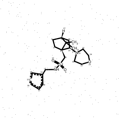 CC1(C)[C@@H]2CC[C@@]1(CS(=O)(=O)NCc1ccccc1)[C@H](N1CCOCC1)C2